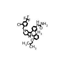 Cc1cccc(OCC(C)C)c1-n1nc2c(c1-c1ccc(NC(N)=O)cc1)CN(Cc1ccc(C(F)(F)F)cc1Cl)CC2